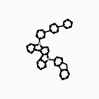 c1ccc(-c2ccc(-c3cccc(-n4c5ccccc5c5c6c7ccccc7n(-c7ccc8c(c7)-c7ccccc7C8)c6ccc54)c3)cc2)cc1